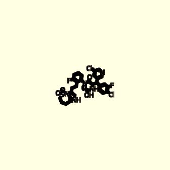 O=C(O)NC(C(=O)Nc1cccc(F)c1CCC1CNC2CCCS(=O)(=O)N1C2)C(c1cncc(Cl)c1)c1ccc(Cl)c(F)c1